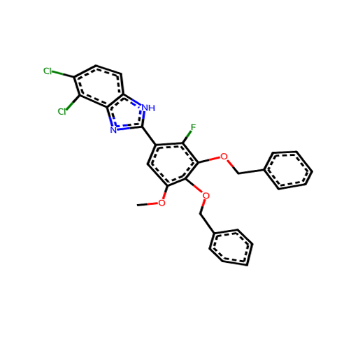 COc1cc(-c2nc3c(Cl)c(Cl)ccc3[nH]2)c(F)c(OCc2ccccc2)c1OCc1ccccc1